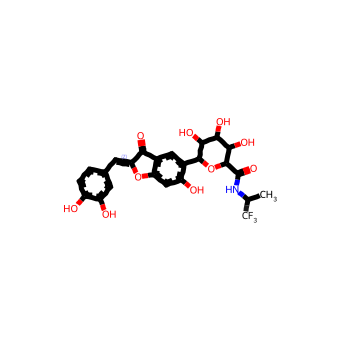 CC(NC(=O)C1OC(c2cc3c(cc2O)O/C(=C\c2ccc(O)c(O)c2)C3=O)C(O)C(O)C1O)C(F)(F)F